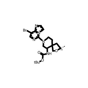 C[C@H]1CC2(CCN(c3ncc(Br)c4nccn34)CC2NC(=O)OC(C)(C)C)CO1